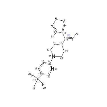 C/C=C(\C1=CCCC=C1C)C1CCN(c2ccc(C(C)(F)F)cn2)CC1